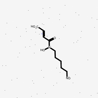 O=NCCCCCN(O)C(=O)/C=C/C(=O)O